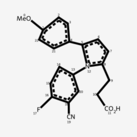 COc1ccc(-c2ccc(CCC(=O)O)n2-c2ccc(F)c(C#N)c2)cc1